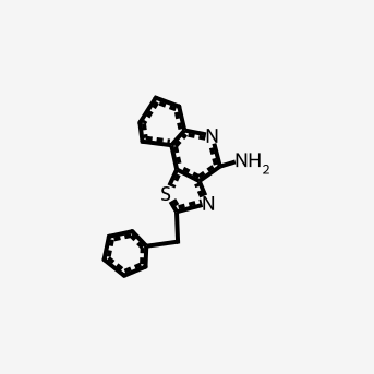 Nc1nc2ccccc2c2sc(Cc3ccccc3)nc12